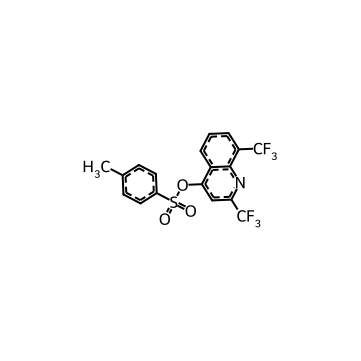 Cc1ccc(S(=O)(=O)Oc2cc(C(F)(F)F)nc3c(C(F)(F)F)cccc23)cc1